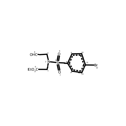 CCOC(=O)CN(CC=O)S(=O)(=O)c1ccc(Br)cc1